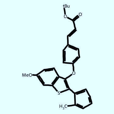 COc1ccc2c(Oc3ccc(C=CC(=O)OC(C)(C)C)cc3)c(-c3ccccc3C)sc2c1